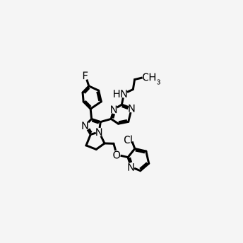 CCCNc1nccc(-c2c(-c3ccc(F)cc3)nc3n2C(COc2ncccc2Cl)CC3)n1